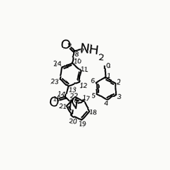 Cc1ccccc1.NC(=O)c1ccc(C(=O)n2c3ccc2cc3)cc1